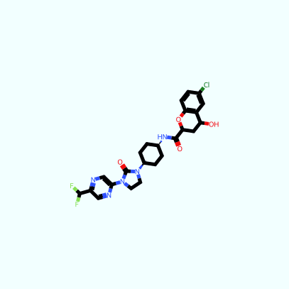 O=C(N[C@H]1CC[C@H](N2CCN(c3cnc(C(F)F)cn3)C2=O)CC1)C1CC(O)c2cc(Cl)ccc2O1